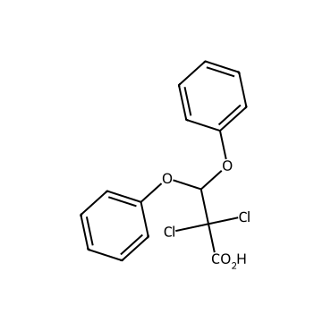 O=C(O)C(Cl)(Cl)C(Oc1ccccc1)Oc1ccccc1